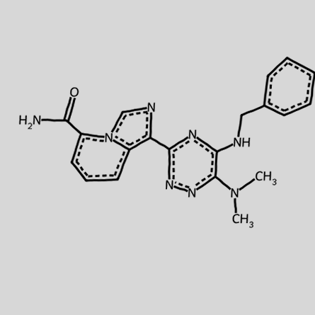 CN(C)c1nnc(-c2ncn3c(C(N)=O)cccc23)nc1NCc1ccccc1